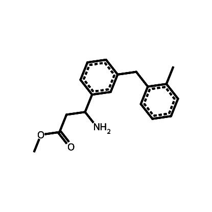 COC(=O)CC(N)c1cccc(Cc2ccccc2C)c1